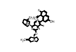 C#Cc1c(F)ccc2cc(O)cc(-c3ncc4c(N5CC6CCC(CC)(C5)N6)nc(OC[C@@]56CCCN5CC(=C)C6)nc4c3F)c12